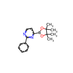 CC1(C)OB(c2ccnc(-c3ccccc3)n2)OC1(C)C